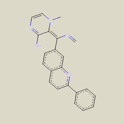 C=N/C(=C1/C(N)=NC=CN1C)c1ccc2ccc(-c3ccccc3)nc2c1